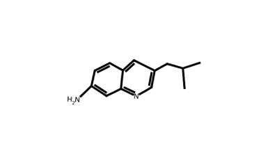 CC(C)Cc1cnc2cc(N)ccc2c1